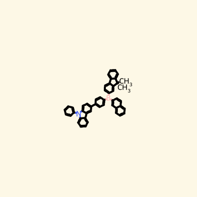 CC1(C)c2ccccc2-c2ccc(B(c3ccc(-c4ccc5c(c4)c4ccccc4n5-c4ccccc4)cc3)c3ccc4ccccc4c3)cc21